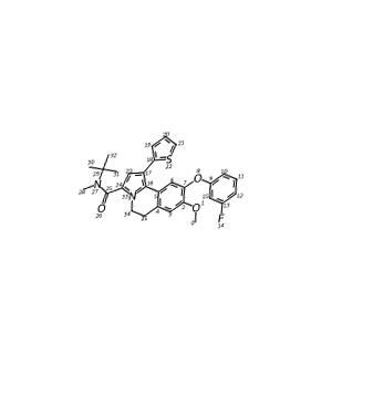 COc1cc2c(cc1Oc1cccc(F)c1)-c1c(-c3cccs3)cc(C(=O)N(C)C(C)(C)C)n1CC2